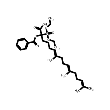 CCOP(=O)(OCC)C(CCC/C=C(\C)CC/C=C(\C)CCC=C(C)C)(OC(=O)c1ccccc1)C(=O)O